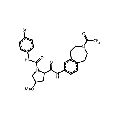 COC1CC(C(=O)Nc2ccc3c(c2)CCN(C(=O)C(F)(F)F)CC3)N(C(=O)Nc2ccc(Br)cc2)C1